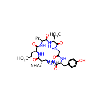 CC(=O)N[C@@H](CC(=O)O)C(=O)N[C@@H](CCC(=O)O)C(=O)N[C@H](C(=O)N[C@@H](CC(=O)O)C(=O)NCC(=O)N[C@@H](Cc1ccc(O)cc1)C(N)=O)C(C)C